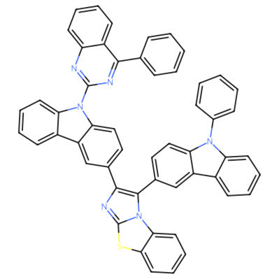 c1ccc(-c2nc(-n3c4ccccc4c4cc(-c5nc6sc7ccccc7n6c5-c5ccc6c(c5)c5ccccc5n6-c5ccccc5)ccc43)nc3ccccc23)cc1